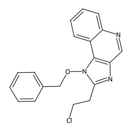 ClCCc1nc2cnc3ccccc3c2n1OCc1ccccc1